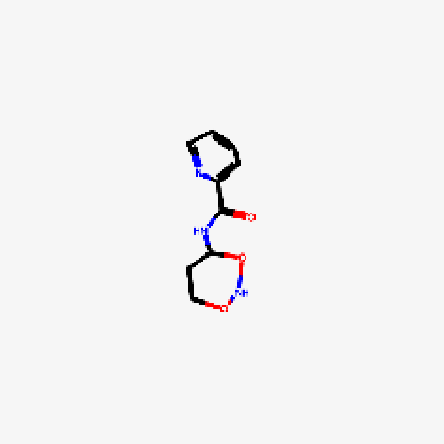 O=C(NC1CCONO1)c1ccccn1